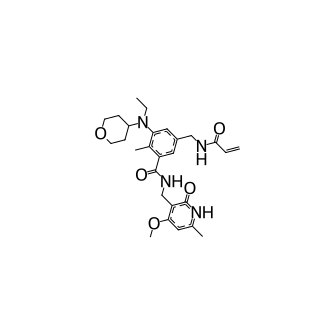 C=CC(=O)NCc1cc(C(=O)NCc2c(OC)cc(C)[nH]c2=O)c(C)c(N(CC)C2CCOCC2)c1